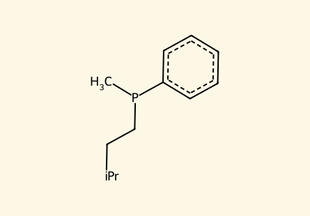 CC(C)CCP(C)c1ccccc1